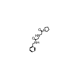 O=C(CNCC(=O)N1CCCC1)NCc1ccccc1